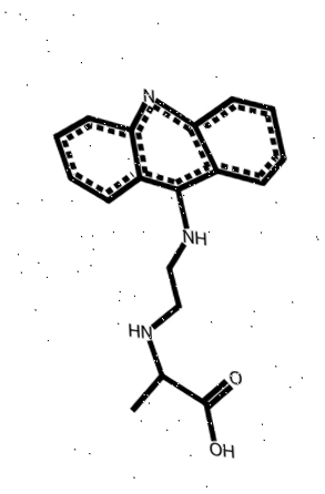 CC(NCCNc1c2ccccc2nc2ccccc12)C(=O)O